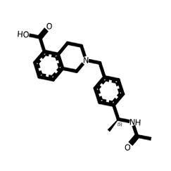 CC(=O)N[C@@H](C)c1ccc(CN2CCc3c(cccc3C(=O)O)C2)cc1